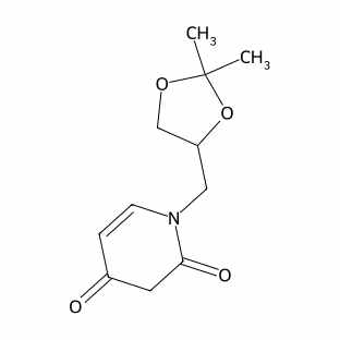 CC1(C)OCC(CN2C=CC(=O)CC2=O)O1